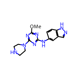 COc1nc(Nc2ccc3[nH]ncc3c2)nc(N2CCNCC2)n1